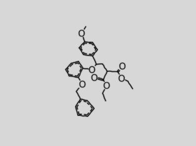 CCOC(=O)C(CC(Oc1ccccc1OCc1ccccc1)c1ccc(OC)cc1)C(=O)OCC